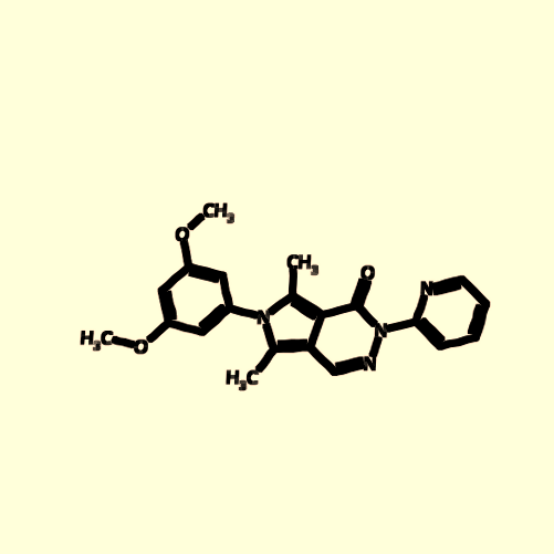 COc1cc(OC)cc(-n2c(C)c3cnn(-c4ccccn4)c(=O)c3c2C)c1